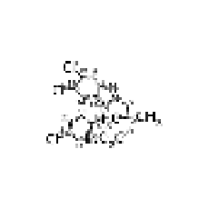 CCOC(=O)CC(C)(C)Cc1nc2cc(Cl)c(Cl)cc2n1Cc1ccc(Cl)cc1